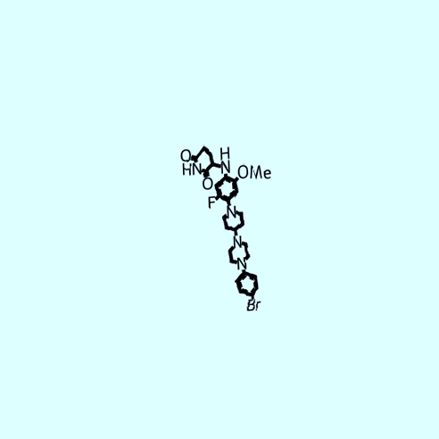 COc1cc(N2CCC(N3CCN(c4ccc(Br)cc4)CC3)CC2)c(F)cc1NC1CCC(=O)NC1=O